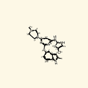 Cc1cc2cc(Oc3nc(NC4NC=C(Cl)S4)cc(N4CCN(C)CC4)n3)ccc2[nH]1